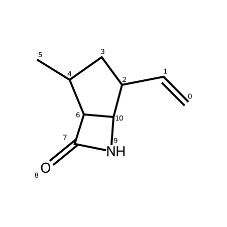 C=CC1CC(C)C2C(=O)NC12